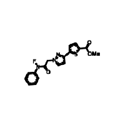 COC(=O)c1ccc(-c2ccn(CC(=O)N(F)c3ccccc3)n2)s1